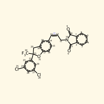 O=C1c2ccccc2C(=O)N1C/C=C\c1ccc2c(c1)CC(c1cc(Cl)cc(Cl)c1)(C(F)(F)F)O2